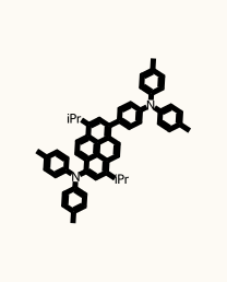 Cc1ccc(N(c2ccc(C)cc2)c2ccc(-c3cc(C(C)C)c4ccc5c(N(c6ccc(C)cc6)c6ccc(C)cc6)cc(C(C)C)c6ccc3c4c65)cc2)cc1